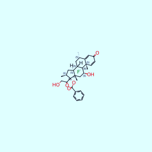 C[C@H]1C[C@H]2[C@@H]3C[C@H](C)[C@](OC(=O)c4ccccc4)(C(=O)CO)[C@@]3(C)C[C@H](O)[C@]2(F)[C@@]2(C)C=CC(=O)C=C12